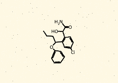 CCCC(Oc1ccccc1)c1cc(Cl)ccc1C(O)C(N)=O